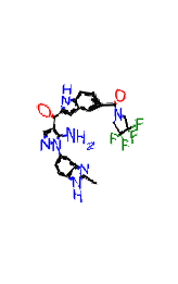 Cc1nc2cc(-n3ncc(C(=O)c4cc5cc(C(=O)N6CC(F)(F)C(F)(F)C6)ccc5[nH]4)c3N)ccc2[nH]1